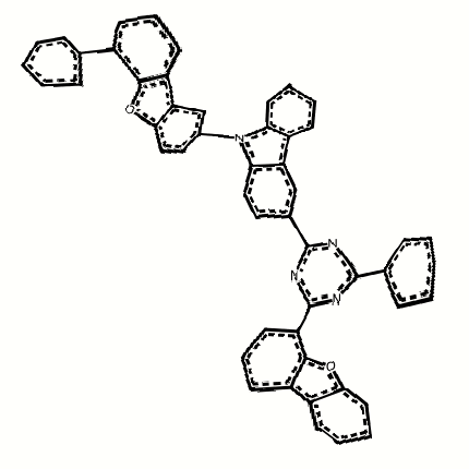 c1ccc(-c2nc(-c3ccc4c(c3)c3ccccc3n4-c3ccc4oc5c(-c6ccccc6)cccc5c4c3)nc(-c3cccc4c3oc3ccccc34)n2)cc1